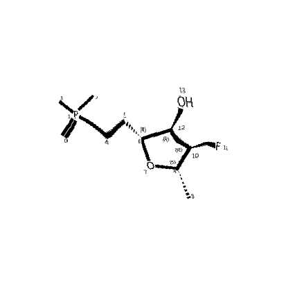 C=P(C)(C)CC[C@H]1O[C@@H](C)[C@H](F)[C@@H]1O